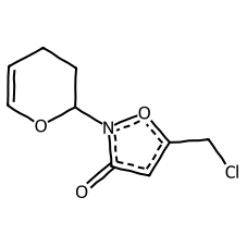 O=c1cc(CCl)on1C1CCC=CO1